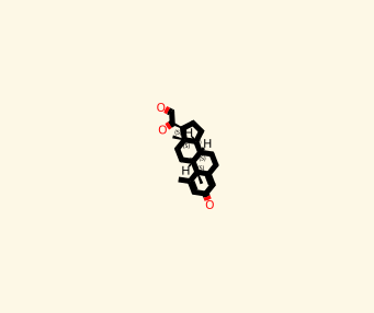 CC1=CC(=O)C=C2CC[C@@H]3[C@H](CC[C@]4(C)[C@@H](C(=O)C=O)CC[C@@H]34)[C@@]12C